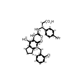 CC(C)c1ccc([C@H](CC(=O)O)NC(=O)Nc2c(O)c3c(n(Cc4ccccc4Cl)c2=O)CCC3)cc1